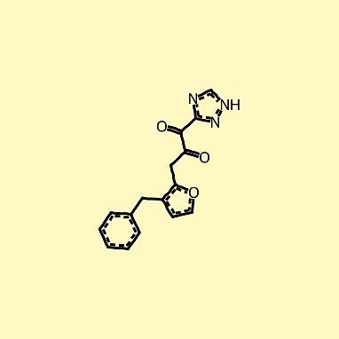 O=C(Cc1occc1Cc1ccccc1)C(=O)c1nc[nH]n1